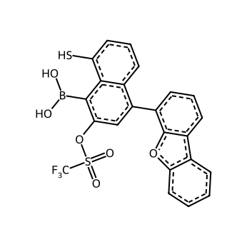 O=S(=O)(Oc1cc(-c2cccc3c2oc2ccccc23)c2cccc(S)c2c1B(O)O)C(F)(F)F